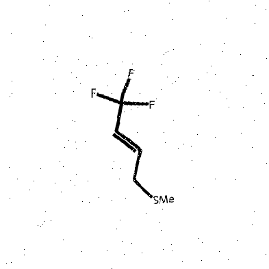 CSCC=CC(F)(F)F